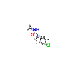 O=C(/C=C1\CCc2cc(Cl)ccc21)NC1CC1